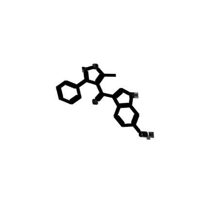 Cc1onc(-c2ccccc2)c1C(=O)c1c[nH]c2cc(C(=O)O)ccc12